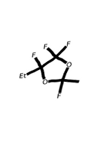 CCC1(F)OC(C)(F)OC1(F)F